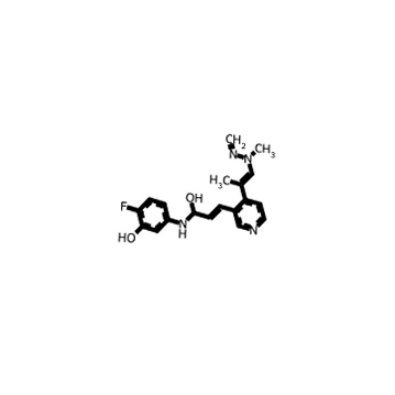 C=NN(C)/C=C(\C)c1ccncc1/C=C/C(O)Nc1ccc(F)c(O)c1